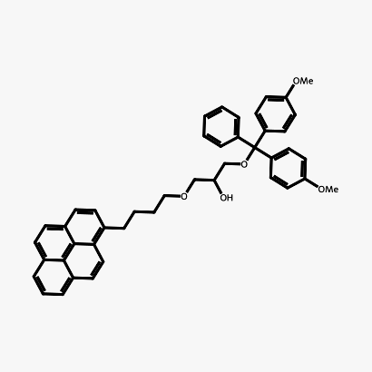 COc1ccc(C(OCC(O)COCCCCc2ccc3ccc4cccc5ccc2c3c45)(c2ccccc2)c2ccc(OC)cc2)cc1